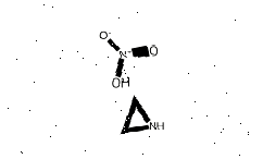 C1CN1.O=[N+]([O-])O